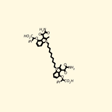 Cc1c(C(=O)C(N)=O)c2c(OC(C(=O)O)C(C)C)cccc2n1CCCCCCCCCCn1c(C)c(C(=O)C(N)=O)c2c(OC(C(=O)O)C(C)C)cccc21